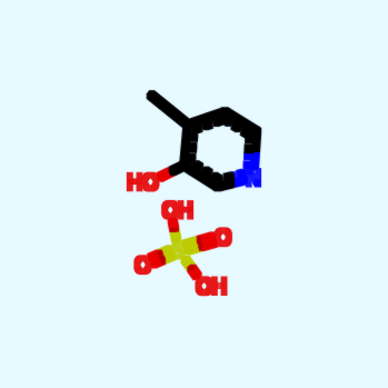 Cc1ccncc1O.O=S(=O)(O)O